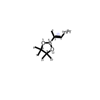 CCC/C=C(\C)B1OC(C)(C)C(C)(C)O1